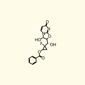 O=C(OC1C[C@@]1(F)[C@@H](O)C1Oc2nc(=O)ccn2[C@@H]1O)c1ccccc1